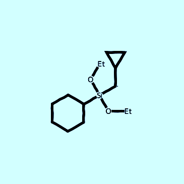 CCO[Si]([CH]C1CC1)(OCC)C1CCCCC1